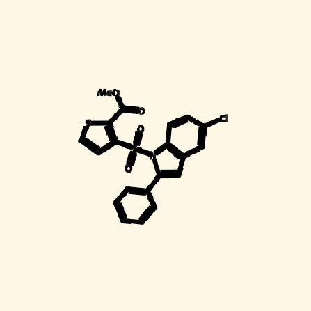 COC(=O)c1sccc1S(=O)(=O)n1c(-c2ccccc2)cc2cc(Cl)ccc21